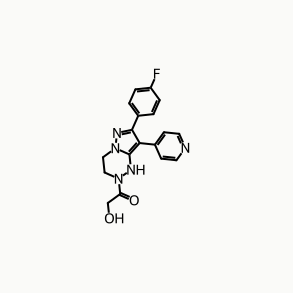 O=C(CO)N1CCn2nc(-c3ccc(F)cc3)c(-c3ccncc3)c2N1